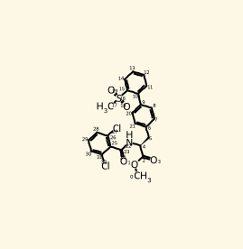 COC(=O)[C@H](Cc1ccc(-c2ccccc2S(C)(=O)=O)cc1)NC(=O)c1c(Cl)cccc1Cl